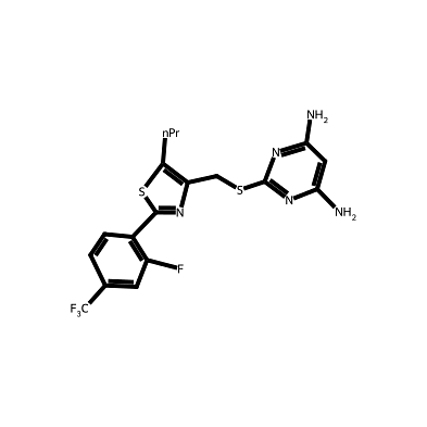 CCCc1sc(-c2ccc(C(F)(F)F)cc2F)nc1CSc1nc(N)cc(N)n1